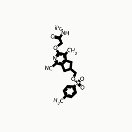 Cc1ccc(S(=O)(=O)OCC2Cc3c(C#N)nc(OCC(=O)NC(C)C)c(C)c3C2)cc1